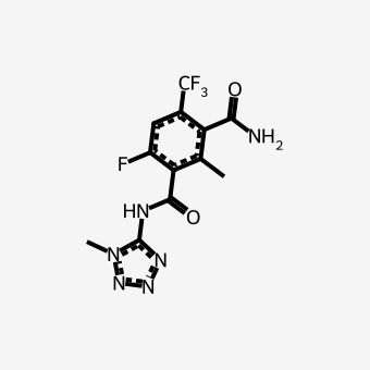 Cc1c(C(=O)Nc2nnnn2C)c(F)cc(C(F)(F)F)c1C(N)=O